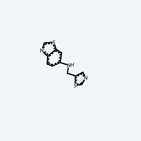 c1ncc(CNc2ccc3ncsc3c2)s1